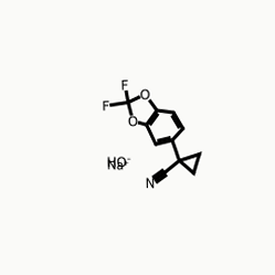 N#CC1(c2ccc3c(c2)OC(F)(F)O3)CC1.[Na+].[OH-]